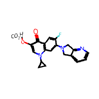 O=C(O)Oc1cn(C2CC2)c2cc(N3Cc4cccnc4C3)c(F)cc2c1=O